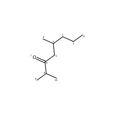 CCCC(C)CC(=O)C(C)C